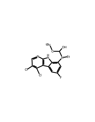 CCN(c1cc(F)cc2c1[nH]c1ncc(Cl)c(Cl)c12)C(O)OC(C)(C)C